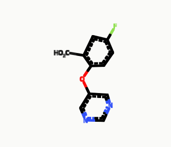 O=C(O)c1cc(F)ccc1Oc1cncnc1